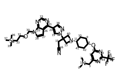 CN(C)Cc1cc(O[C@H]2CC[C@@H](N3CC(CC#N)(n4cc(-c5ncnc6c5ccn6COCC[Si](C)(C)C)cn4)C3)CC2)nc(C(F)(F)F)n1